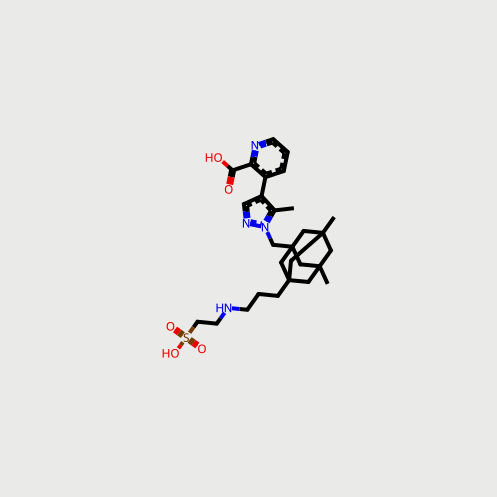 Cc1c(-c2cccnc2C(=O)O)cnn1CC12CC3(C)CC(C)(CC(CCCNCCS(=O)(=O)O)(C3)C1)C2